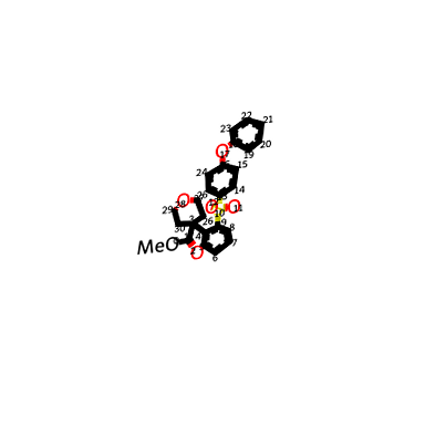 COC(=O)C1(c2ccccc2S(=O)(=O)c2ccc(Oc3ccccc3)cc2)CCOCC1